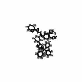 N#Cc1ccc(N(CCOC2CCCCO2)C2CCC=C(c3cn(C(c4ccccc4)(c4ccccc4)c4ccccc4)cn3)C2)cc1C(F)(F)F